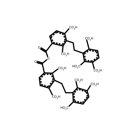 O=C(O)c1ccc(C(=O)O)c(C(=O)O)c1CCc1c(C(=O)O)ccc(C(=O)OC(=O)c2ccc(C(=O)O)c(CCc3c(C(=O)O)ccc(C(=O)O)c3C(=O)O)c2C(=O)O)c1C(=O)O